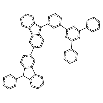 c1ccc(-c2nc(-c3ccccc3)nc(-c3cccc(-n4c5ccccc5c5cc(-c6ccc7c(c6)-c6ccccc6C7c6ccccc6)ccc54)c3)n2)cc1